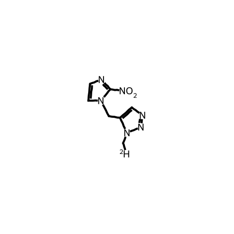 [2H]Cn1nncc1Cn1ccnc1[N+](=O)[O-]